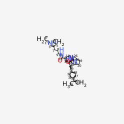 C=CN/C=C(\C=C)CCCNC(=O)c1cnc(N2C3CCC2CC(=O)NC3)c(C#Cc2ccc(C(=C)C)cc2)c1